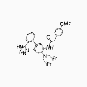 COc1ccc(CC(=O)Nc2cc(-c3ccccc3-c3nnn[nH]3)ccc2N(CC(C)C)CC(C)C)cc1